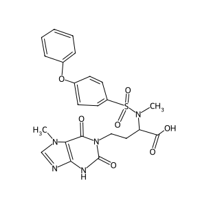 CN(C(CCn1c(=O)[nH]c2ncn(C)c2c1=O)C(=O)O)S(=O)(=O)c1ccc(Oc2ccccc2)cc1